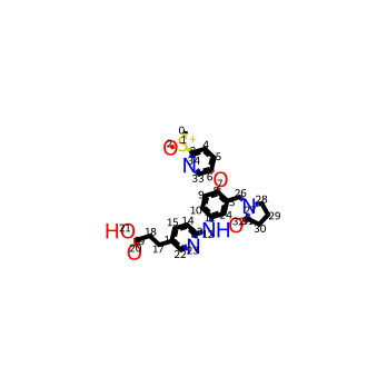 C[S+]([O-])c1ccc(Oc2ccc(Nc3ccc(CCC(=O)O)cn3)cc2CN2CCCC2=O)cn1